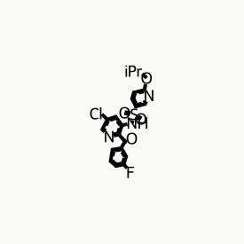 CC(C)Oc1ccc(S(=O)(=O)Nc2cc(Cl)cnc2C(=O)c2cccc(F)c2)cn1